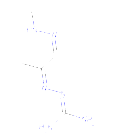 CN/N=C\C(C)=N/N=C(N)N